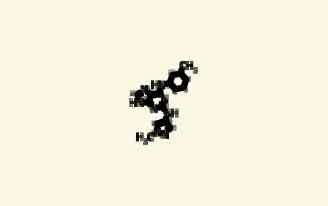 CC1CCCC(Nc2nc(Nc3cnn(C)c3)nc3[nH]cnc23)C1